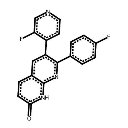 O=c1ccc2cc(-c3ccncc3F)c(-c3ccc(F)cc3)nc2[nH]1